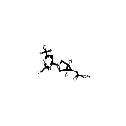 O=C(O)C[C@H]1[C@H]2CN(c3cc(C(F)(F)F)nc(Cl)n3)C[C@@H]12